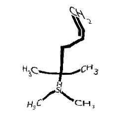 C=CCC(C)(C)[SiH](C)C